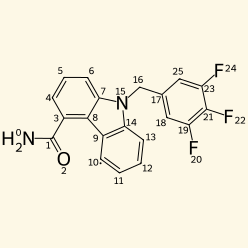 NC(=O)c1cccc2c1c1[c]cccc1n2Cc1cc(F)c(F)c(F)c1